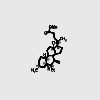 CC[C@@H]1C(=O)C2C(CC[C@@]3(C)C2CC[C@@H]3[C@H](C)CCC(=O)OC)[C@H]2CC[C@@H](C)C[C@@H]12